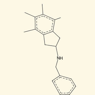 Cc1c(C)c(C)c2c(c1C)CC(NCc1ccccc1)C2